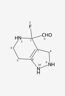 O=CC1(F)NCCC2=C1CNN2